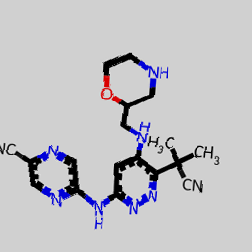 CC(C)(C#N)c1nnc(Nc2cnc(C#N)cn2)cc1NCC1CNCCO1